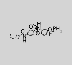 C/C=C\C1CC(C(=O)Nc2ccc(S(=O)(=O)Nc3cccc(OC(C)(F)P)c3)c(OCC)c2)C1